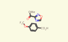 COC(=O)c1ncon1.O=C(O)c1ccc(OC(F)(F)F)cc1